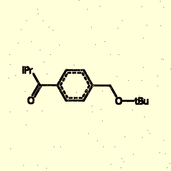 CC(C)C(=O)c1ccc(COC(C)(C)C)cc1